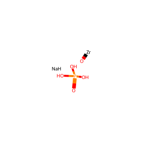 O=P(O)(O)O.[NaH].[O]=[Zr]